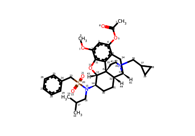 COc1cc(OC(C)=O)c2c3c1O[C@H]1[C@H](N(CC(C)C)S(=O)(=O)Cc4ccccc4)CC[C@H]4[C@@H](C2)N(CC2CC2)CC[C@@]341